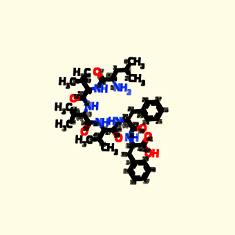 CC(C)C[C@H](N)C(=O)N[C@@H](C(=O)N[C@@H](C(=O)N[C@@H](C(=O)N[C@@H](Cc1ccccc1)C(=O)N[C@H](Cc1ccccc1)C(=O)O)C(C)C)C(C)C)C(C)C